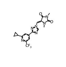 CN1C(=O)/C(=C/n2cnc(-c3cc(C4CC4)nc(C(F)(F)F)c3)n2)N(C)C1=O